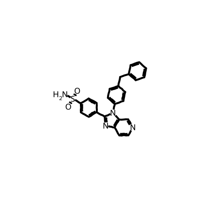 NS(=O)(=O)c1ccc(-c2nc3ccncc3n2-c2ccc(Cc3ccccc3)cc2)cc1